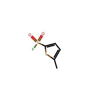 Cc1ccc(S(=O)(=O)F)s1